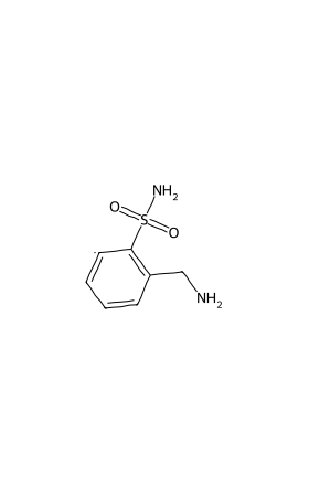 NCc1ccc[c]c1S(N)(=O)=O